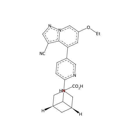 CCOc1cc(-c2ccc(N3C[C@H]4C[C@@H](C3)C4NC(=O)O)nc2)c2c(C#N)cnn2c1